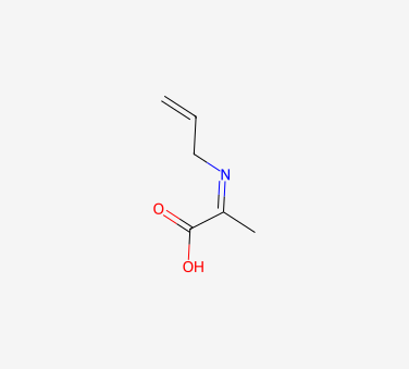 C=CCN=C(C)C(=O)O